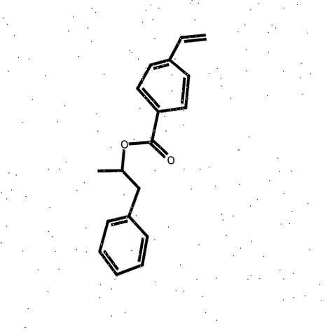 C=Cc1ccc(C(=O)OC(C)Cc2ccccc2)cc1